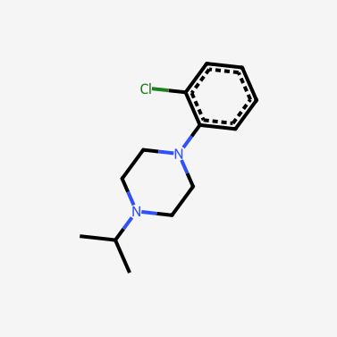 CC(C)N1CCN(c2ccccc2Cl)CC1